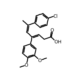 COc1ccc(C(C=C(C)c2ccc(Cl)cc2)=CCC(=O)O)cc1OC